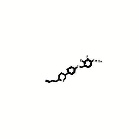 C=CCCC1CCC(c2ccc(OCc3ccc(OCCCC)c(F)c3F)cc2)CO1